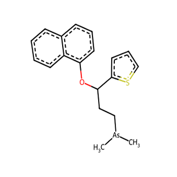 C[As](C)CCC(Oc1cccc2ccccc12)c1cccs1